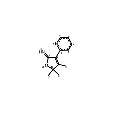 CC1=C(c2ccccn2)C(=N)OC1(C)C